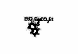 CCOC(=O)C(Sc1cccc2ccccc12)C(=O)OCC